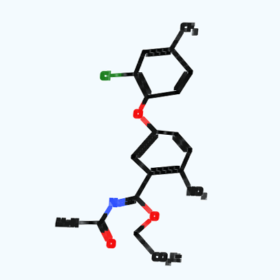 CCOC(=O)COC(=NC(=O)NC)c1cc(Oc2ccc(C(F)(F)F)cc2Cl)ccc1[N+](=O)[O-]